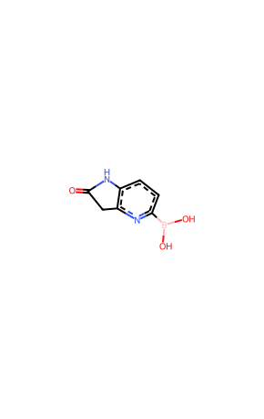 O=C1Cc2nc(B(O)O)ccc2N1